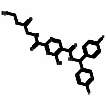 CCOC(=O)CNC(=O)c1ncc(C(=O)NC(c2ccc(F)cc2)c2ccc(F)cc2)c(O)n1